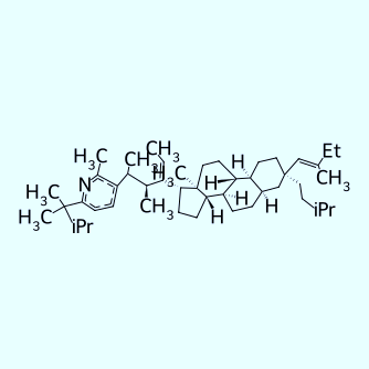 C/C=C(\[C@@H](C)C(C)c1ccc(C(C)(C)C(C)C)nc1C)[C@H]1CC[C@H]2[C@@H]3CC[C@@H]4C[C@@](/C=C(\C)CC)(CCC(C)C)CC[C@@H]4[C@H]3CC[C@]12C